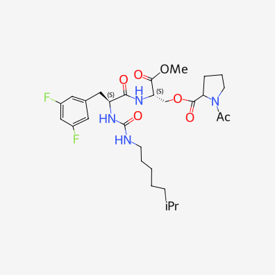 COC(=O)[C@H](COC(=O)C1CCCN1C(C)=O)NC(=O)[C@H](Cc1cc(F)cc(F)c1)NC(=O)NCCCCCC(C)C